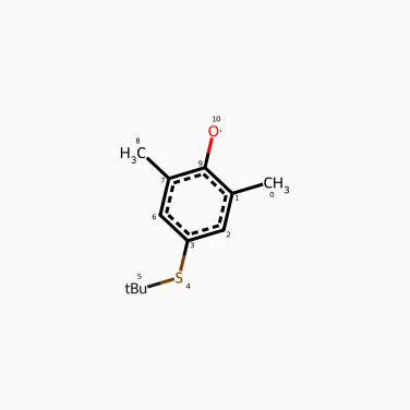 Cc1cc(SC(C)(C)C)cc(C)c1[O]